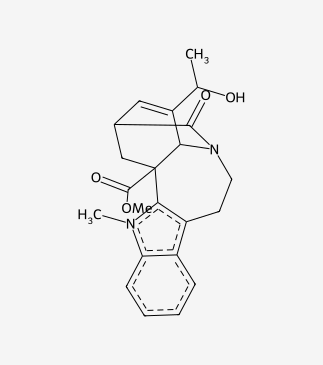 COC(=O)C12CC3C=C(C(C)O)C1N(CCc1c2n(C)c2ccccc12)C3=O